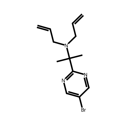 C=CCN(CC=C)C(C)(C)c1ncc(Br)cn1